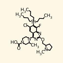 CCC[CH2][Sn]([CH2]CCC)([CH2]CCC)[c]1c(Cl)cc2c(N3CCN(C(=O)O)CC3C)nc(OCC3CCCN3C)nc2c1F